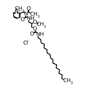 CCCCCCCCCCCCCCCCCCNC(=O)OCC(CNC(=O)N(Cc1cccc[n+]1C)C(C)=O)OC.[Cl-]